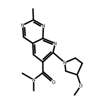 COC1CCN(c2nc3nc(C)ncc3cc2C(=O)N(C)C)C1